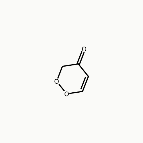 O=C1C=COOC1